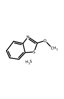 COc1nc2ccccc2s1.S